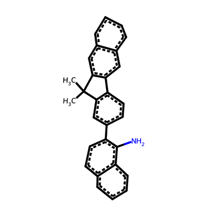 CC1(C)c2cc(-c3ccc4ccccc4c3N)ccc2-c2cc3ccccc3cc21